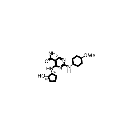 CO[C@H]1CC[C@H](Nc2ncc(C(N)=O)c(N[C@H]3CCC[C@@H]3O)n2)CC1